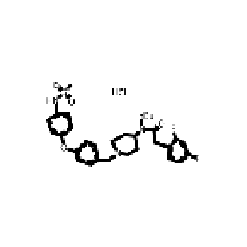 CCCCN(C(=O)Cc1ccc(F)cc1F)C1CCN(Cc2ccc(Oc3ccc(NS(C)(=O)=O)cc3)cc2)CC1.Cl